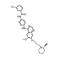 C#CC1CCCCN1CCCOc1cc2ncnc(Nc3ccc(NC(=O)c4cccc(Cl)c4)nc3)c2cc1OC